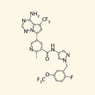 Cc1ncc(-c2cc(C(F)(F)F)c3c(N)ncnn23)cc1C(=O)Nc1cnn(Cc2cc(OC(F)(F)F)ccc2F)c1